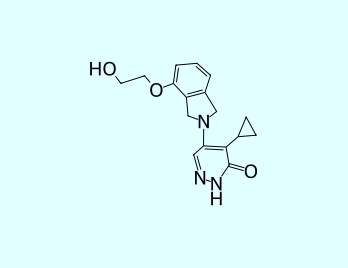 O=c1[nH]ncc(N2Cc3cccc(OCCO)c3C2)c1C1CC1